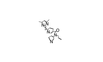 C=CCN(C(=O)c1ccc(Sc2nc(C)cc(C)n2)nc1)c1cccnc1